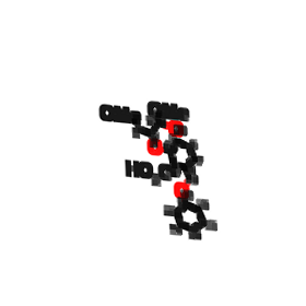 COC=C(Oc1cccc(COc2ccccc2)c1C(=O)O)C(=O)OC